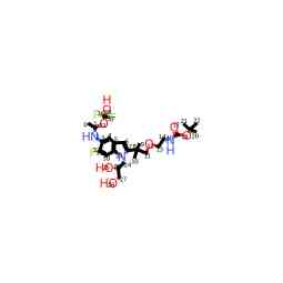 CC(Nc1cc2cc(C(C)(C)COCCNC(=O)OC(C)(C)C)n(C[C@@H](O)CO)c2cc1F)OC(O)(F)F